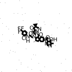 Cc1ncnc(C(=O)N2CCC3(CC2)C[C@H](C)c2c3c(=O)n3nc(C(=O)C4(C#N)CC4)nc3n2CC(=O)Nc2ccc(C(F)(F)F)cc2Cl)c1O